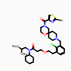 COC(CN(C(=O)CCOCCc1cccc(CN2CCC3(CC2)CN(C(=O)c2csc(C(C)C)n2)CCO3)c1Cl)C1CCCCC1)OC